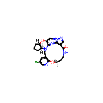 C[C@H]1CCNC(=O)c2cnn3cc4c(nc23)N(Cc2cc(F)cnc2O1)[C@@H]1CCC[C@@H]1O4